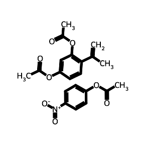 C=C(C)c1ccc(OC(C)=O)cc1OC(C)=O.CC(=O)Oc1ccc([N+](=O)[O-])cc1